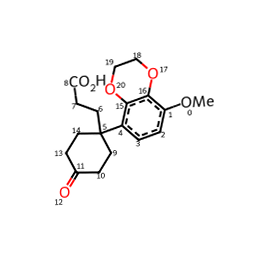 COc1ccc(C2(CCC(=O)O)CCC(=O)CC2)c2c1OCCO2